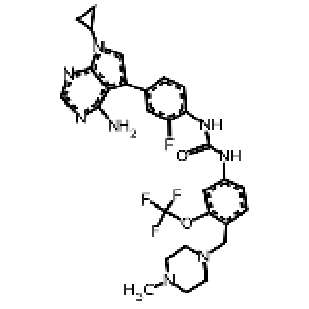 CN1CCN(Cc2ccc(NC(=O)Nc3ccc(-c4cn(C5CC5)c5ncnc(N)c45)cc3F)cc2OC(F)(F)F)CC1